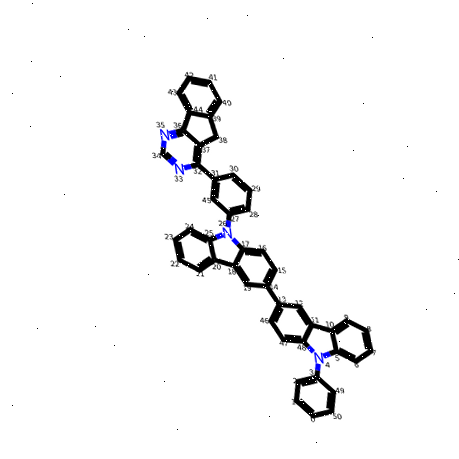 c1ccc(-n2c3ccccc3c3cc(-c4ccc5c(c4)c4ccccc4n5-c4cccc(-c5ncnc6c5Cc5ccccc5-6)c4)ccc32)cc1